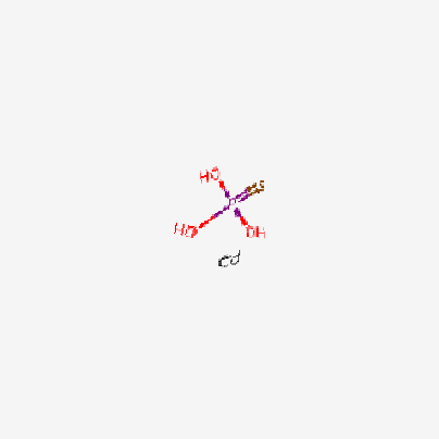 OP(O)(O)=S.[Cd]